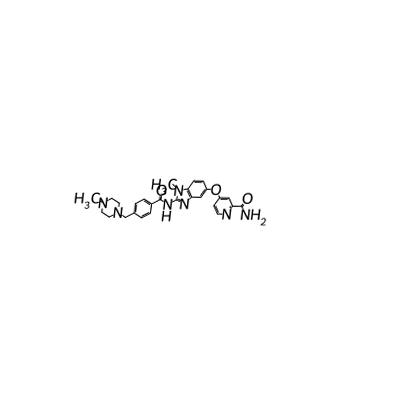 CN1CCN(Cc2ccc(C(=O)Nc3nc4cc(Oc5ccnc(C(N)=O)c5)ccc4n3C)cc2)CC1